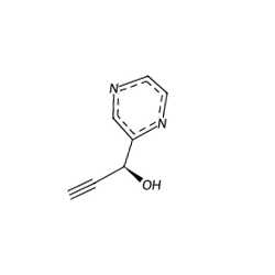 C#C[C@H](O)c1cnccn1